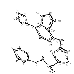 O=C(NCc1ccccc1)c1cccc(Nc2ncc(-c3cn[nH]c3)n3ncnc23)c1